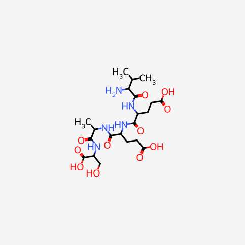 CC(NC(=O)C(CCC(=O)O)NC(=O)C(CCC(=O)O)NC(=O)C(N)C(C)C)C(=O)NC(CO)C(=O)O